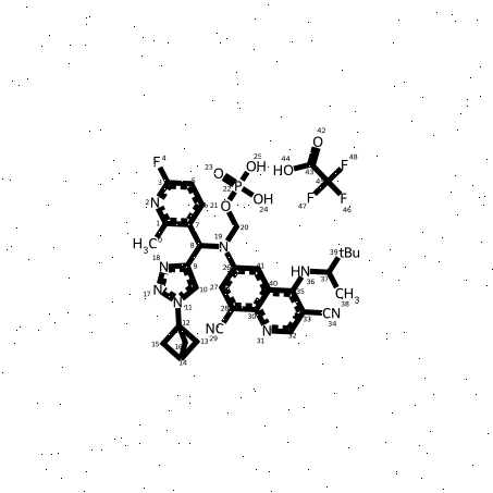 Cc1nc(F)ccc1C(c1cn(C23CC(C2)C3)nn1)N(COP(=O)(O)O)c1cc(C#N)c2ncc(C#N)c(NC(C)C(C)(C)C)c2c1.O=C(O)C(F)(F)F